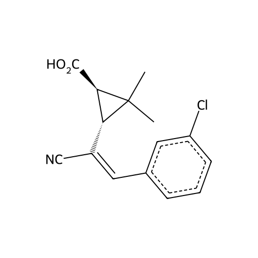 CC1(C)[C@H](C(=O)O)[C@H]1C(C#N)=Cc1cccc(Cl)c1